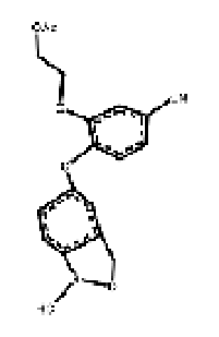 CC(=O)OCCOc1cc(C#N)ccc1Oc1ccc2c(c1)COB2O